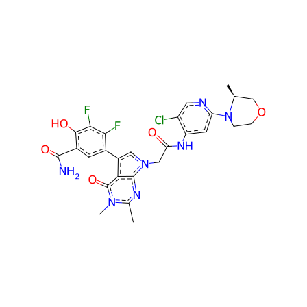 Cc1nc2c(c(-c3cc(C(N)=O)c(O)c(F)c3F)cn2CC(=O)Nc2cc(N3CCOC[C@@H]3C)ncc2Cl)c(=O)n1C